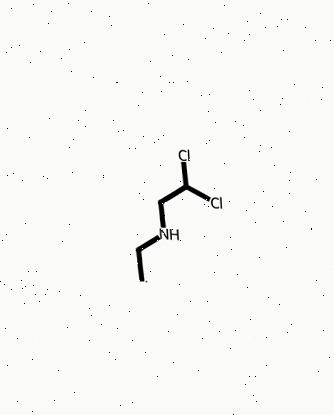 [CH2]CNCC(Cl)Cl